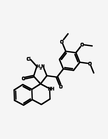 COc1cc(C(=O)C(N)C2(C(=O)CCl)NCCc3ccccc32)cc(OC)c1OC